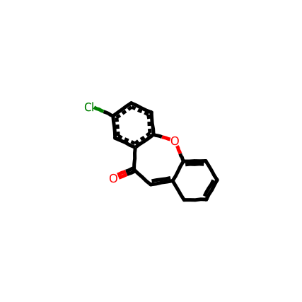 O=C1C=C2CC=CC=C2Oc2ccc(Cl)cc21